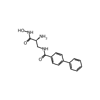 N[C@@H](CNC(=O)c1ccc(-c2ccccc2)cc1)C(=O)NO